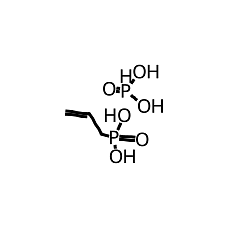 C=CCP(=O)(O)O.O=[PH](O)O